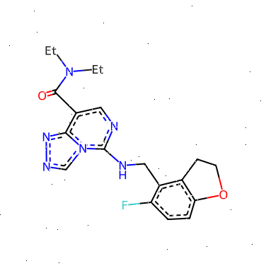 CCN(CC)C(=O)c1cnc(NCc2c(F)ccc3c2CCO3)n2cnnc12